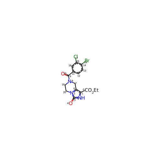 CCOC(=O)c1[nH]c(=O)n2c1CN(C(=O)c1ccc(Br)c(Cl)c1)CC2